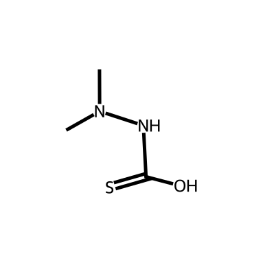 CN(C)NC(O)=S